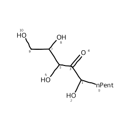 CCCCCC(O)C(=O)C(O)C(O)CO